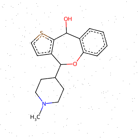 CN1CCC(C2Oc3ccccc3C(O)c3sccc32)CC1